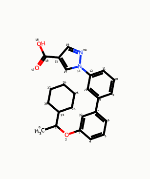 CC(Oc1cccc(-c2cccc(-n3cc(C(=O)O)cn3)c2)c1)C1CCCCC1